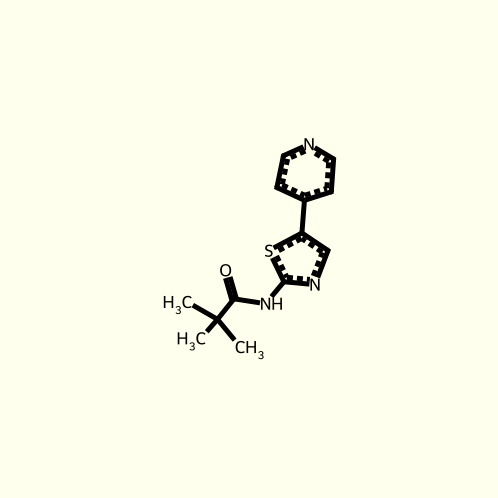 CC(C)(C)C(=O)Nc1ncc(-c2ccncc2)s1